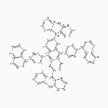 Sc1ccccc1N(c1ccccc1)c1ccc2c(-c3ccc(-c4cccc5ccccc45)cc3)c3cc(N4c5ccccc5Sc5ccccc54)ccc3c(-c3ccc(-c4cccc5ccccc45)cc3)c2c1